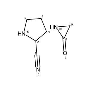 N#CC1CCCN1.O=C1CN1